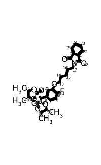 C[C@@H]1OP(=O)(C(c2ccc(F)c(OCCCCCN3C(=O)c4ccccc4C3=O)c2)P2(=O)O[C@@H](C)[C@@H](C)O2)O[C@@H]1C